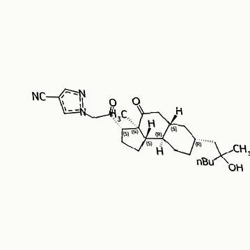 CCCCC(C)(O)C[C@@H]1CC[C@@H]2[C@H](CC(=O)[C@]3(C)[C@@H](C(=O)Cn4cc(C#N)cn4)CC[C@@H]23)C1